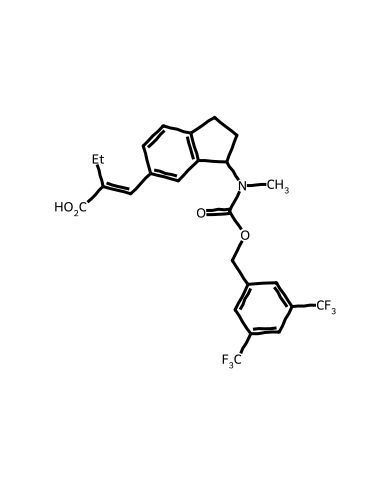 CC/C(=C\c1ccc2c(c1)C(N(C)C(=O)OCc1cc(C(F)(F)F)cc(C(F)(F)F)c1)CC2)C(=O)O